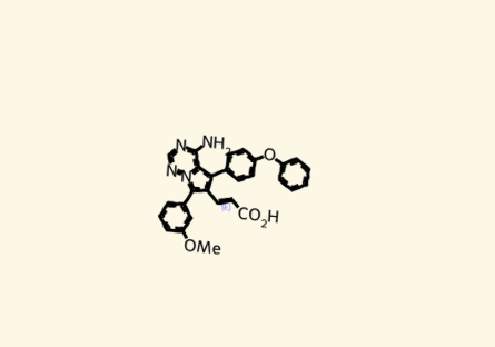 COc1cccc(-c2c(/C=C/C(=O)O)c(-c3ccc(Oc4ccccc4)cc3)c3c(N)ncnn23)c1